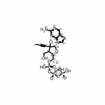 CC#CC1(Cl)C(CO)[C@@H]([C@H](C)OP(=O)(O)OP(=O)(O)OP(=O)(O)O)O[C@H]1n1cnc2cnc(N)nc21